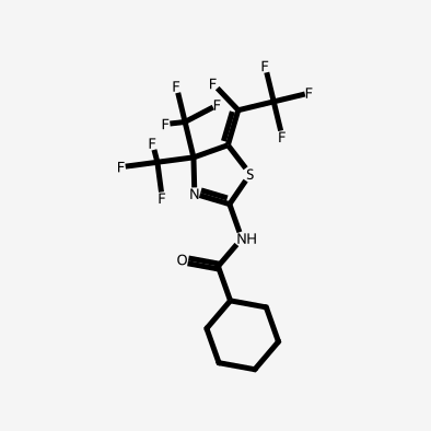 O=C(NC1=NC(C(F)(F)F)(C(F)(F)F)C(=C(F)C(F)(F)F)S1)C1CCCCC1